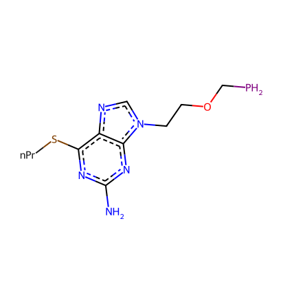 CCCSc1nc(N)nc2c1ncn2CCOCP